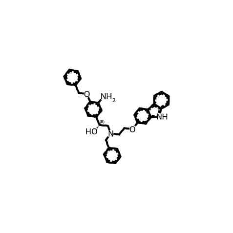 Nc1cc([C@@H](O)CN(CCOc2ccc3c(c2)[nH]c2ccccc23)Cc2ccccc2)ccc1OCc1ccccc1